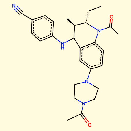 CC[C@H]1[C@H](C)C(Nc2ccc(C#N)cc2)c2cc(N3CCN(C(C)=O)CC3)ccc2N1C(C)=O